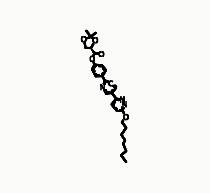 CCCCCCCCOc1ccc(-c2ccc(-c3ccc(OC(=O)[C@H]4COC(C)(C)O4)cc3)nc2)nn1